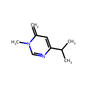 C=C1C=C(C(C)C)N=CN1C